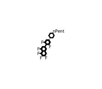 CCCCC[C@H]1CC[C@H](c2cc(F)c(-c3cc(F)c4c(F)c(F)c(F)cc4c3)c(F)c2)CC1